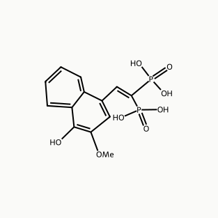 COc1cc(C=C(P(=O)(O)O)P(=O)(O)O)c2ccccc2c1O